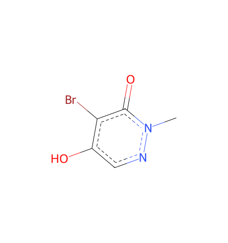 Cn1ncc(O)c(Br)c1=O